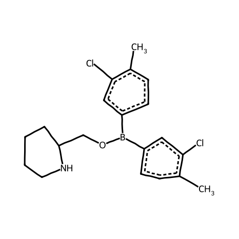 Cc1ccc(B(OCC2CCCCN2)c2ccc(C)c(Cl)c2)cc1Cl